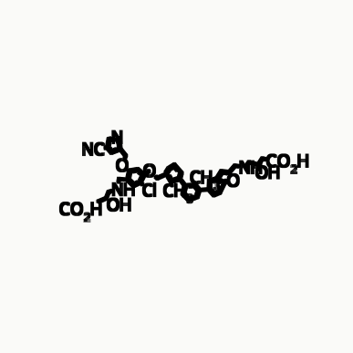 Cc1c(COc2cc(OCc3cncc(C#N)c3)c(CNCC(O)CC(=O)O)cc2Cl)cccc1-c1cccc(-c2ccc3oc(CNCC(O)CC(=O)O)cc3c2)c1C